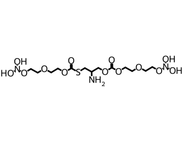 NC(COC(=O)OCCOCCON(O)O)CSC(=O)OCCOCCON(O)O